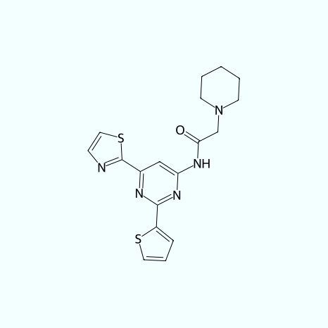 O=C(CN1CCCCC1)Nc1cc(-c2nccs2)nc(-c2cccs2)n1